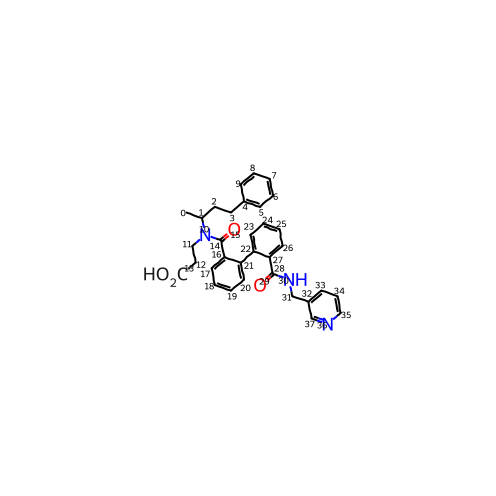 CC(CCc1ccccc1)N(CCC(=O)O)C(=O)c1ccccc1-c1ccccc1C(=O)NCc1cccnc1